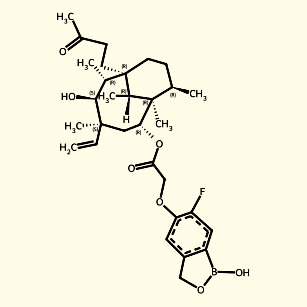 C=C[C@]1(C)C[C@@H](OC(=O)COc2cc3c(cc2F)B(O)OC3)[C@]2(C)[C@H](C)CC[C@@](CCC(C)=O)([C@H]2C)[C@@H](C)[C@@H]1O